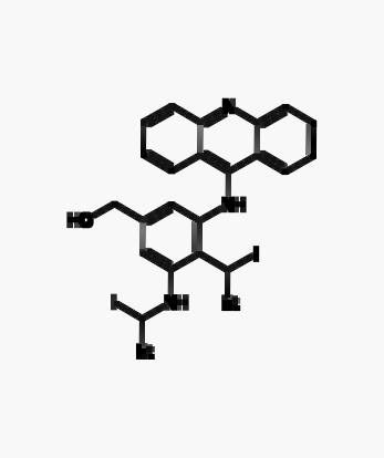 CCC(I)Nc1cc(CO)cc(Nc2c3ccccc3nc3ccccc23)c1C(I)CC